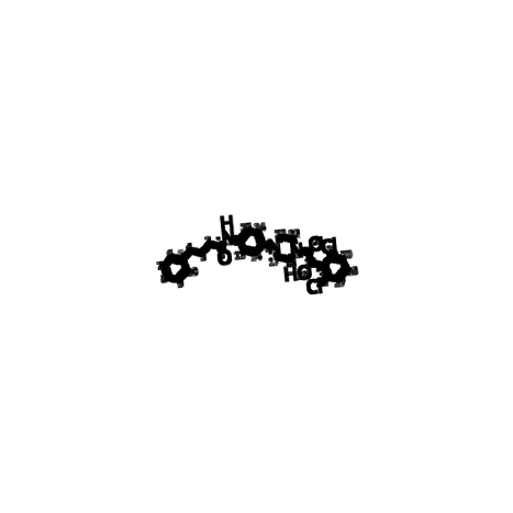 O=C(CCCc1ccccc1)Nc1ccc(N2CCN(C(=O)C(O)c3c(Cl)cccc3Cl)CC2)cc1